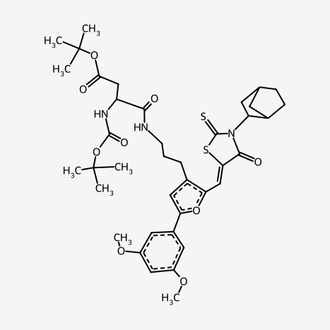 COc1cc(OC)cc(-c2cc(CCCNC(=O)C(CC(=O)OC(C)(C)C)NC(=O)OC(C)(C)C)c(C=C3SC(=S)N(C4CC5CCC4C5)C3=O)o2)c1